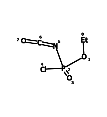 CCOP(=O)(Cl)N=C=O